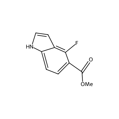 COC(=O)c1ccc2[nH]ccc2c1F